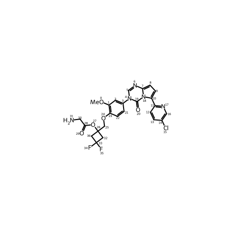 COc1cc(-n2cnc3ccc(-c4ccc(Cl)cn4)n3c2=O)ccc1OCC1(OC(=O)CN)CC(F)(F)C1